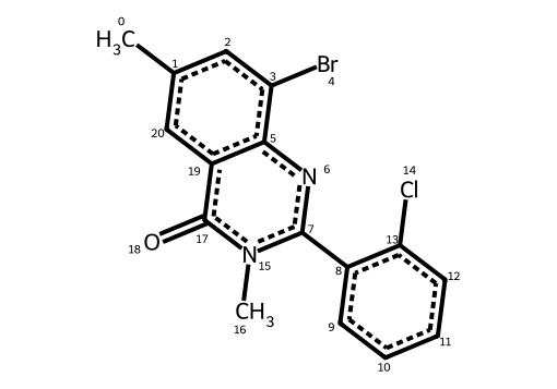 Cc1cc(Br)c2nc(-c3ccccc3Cl)n(C)c(=O)c2c1